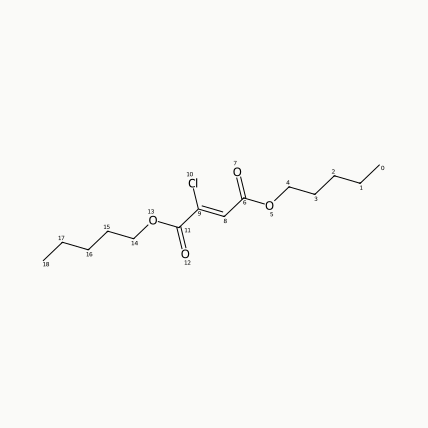 CCCCCOC(=O)C=C(Cl)C(=O)OCCCCC